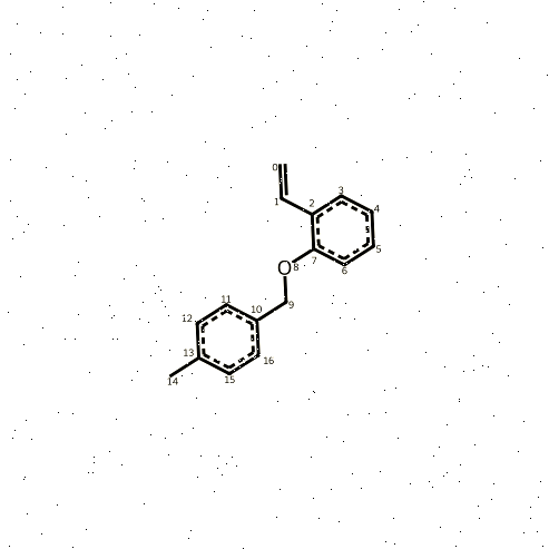 C=Cc1ccccc1OCc1ccc(C)cc1